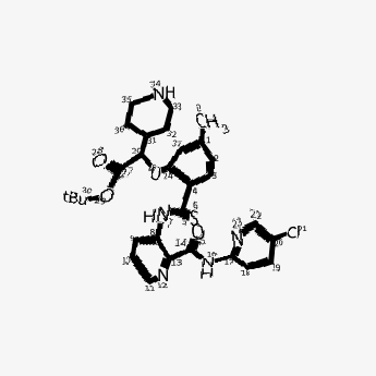 Cc1ccc(C(=S)Nc2cccnc2C(=O)Nc2ccc(Cl)cn2)c(OC(C(=O)OC(C)(C)C)C2CCNCC2)c1